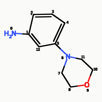 Nc1[c]ccc(N2CCOCC2)c1